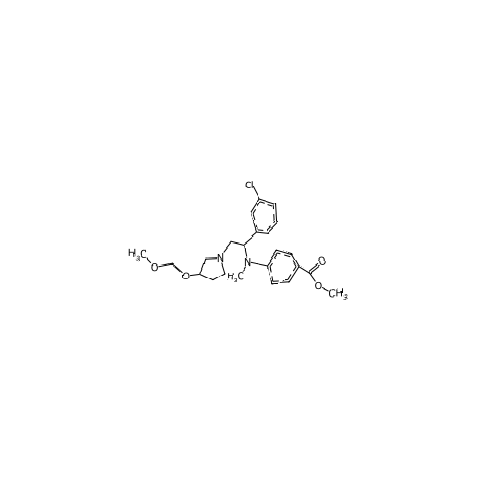 COCOC1CCN(CC(c2cccc(Cl)c2)N(C)c2ccc(C(=O)OC)cc2)C1